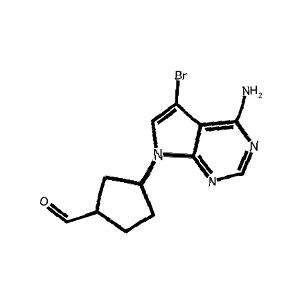 Nc1ncnc2c1c(Br)cn2C1CCC(C=O)C1